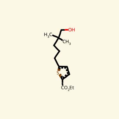 CCOC(=O)c1ccc(CCCC(C)(C)CO)s1